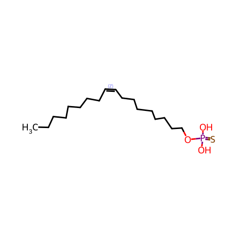 CCCCCCCC/C=C\CCCCCCCCOP(O)(O)=S